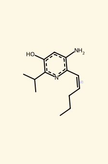 CCC/C=C\c1nc(C(C)C)c(O)cc1N